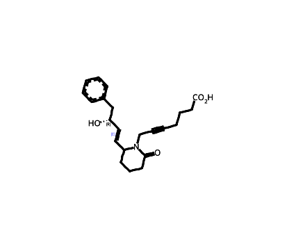 O=C(O)CCCC#CCN1C(=O)CCCC1/C=C/[C@H](O)Cc1ccccc1